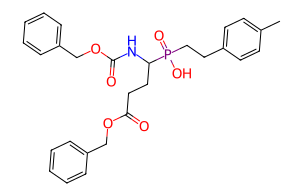 Cc1ccc(CCP(=O)(O)C(CCC(=O)OCc2ccccc2)NC(=O)OCc2ccccc2)cc1